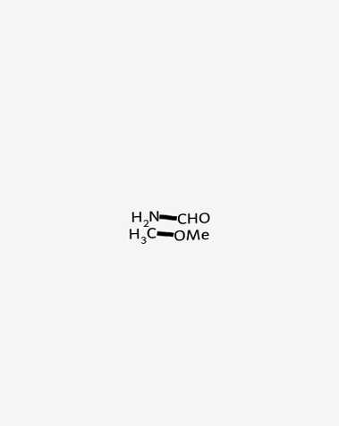 COC.NC=O